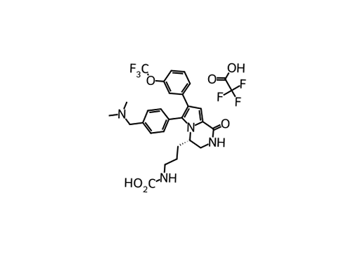 CN(C)Cc1ccc(-c2c(-c3cccc(OC(F)(F)F)c3)cc3n2[C@@H](CCCNC(=O)O)CNC3=O)cc1.O=C(O)C(F)(F)F